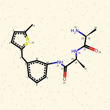 Cc1ccc(Cc2cccc(NC(=O)[C@H](C)NC(=O)[C@H](C)N)c2)s1